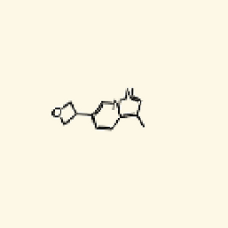 Cc1cnn2cc(C3COC3)ccc12